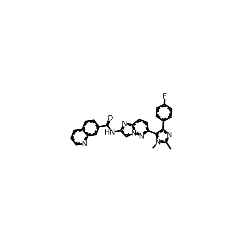 Cc1nc(-c2ccc(F)cc2)c(-c2ccc3nc(NC(=O)c4ccc5cccnc5c4)cn3n2)n1C